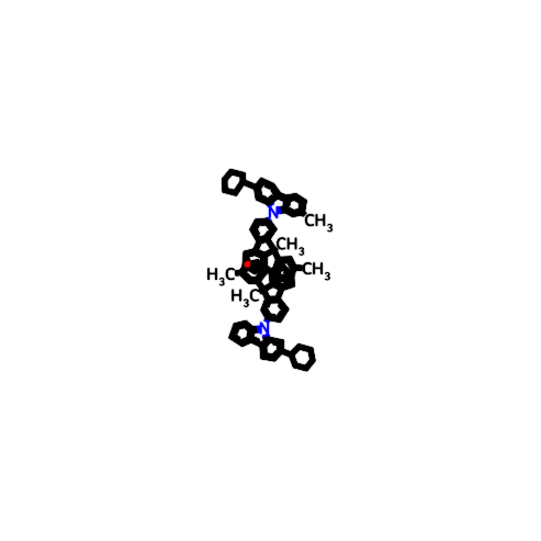 Cc1cccc(C2(C)c3cc(-n4c5ccccc5c5ccc(C6CCCCC6)cc54)ccc3-c3cccc(-c4cccc5c4C(C)(c4cccc(C)c4)c4cc(-n6c7cc(C)ccc7c7ccc(C8CCCCC8)cc76)ccc4-5)c32)c1